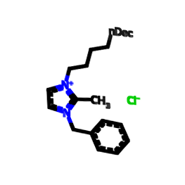 CCCCCCCCCCCCCC[n+]1ccn(Cc2ccccc2)c1C.[Cl-]